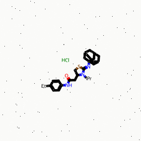 CCc1ccc(NC(=O)CC2CS/C(=N\C34CC5CC(CC(C5)C3)C4)N2C(C)C)cc1.Cl